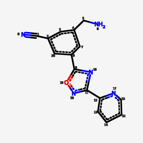 N#Cc1cc(CN)cc(-c2nc(-c3ccccn3)no2)c1